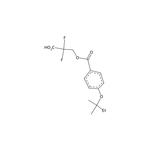 CCC(C)(C)Oc1ccc(C(=O)OCC(F)(F)C(=O)O)cc1